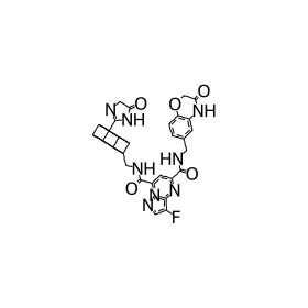 O=C1CN=C(C23C4C5C2C2C3C4C52CNC(=O)c2cc(C(=O)NCc3ccc4c(c3)NC(=O)CO4)nc3c(F)cnn23)N1